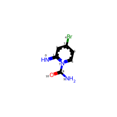 N=c1cc(Br)ccn1C(N)=O